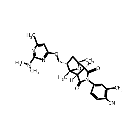 Cc1cc(OC[C@@H]2C[C@@]3(C)O[C@]2(C)[C@@H]2C(=O)N(c4ccc(C#N)c(C(F)(F)F)c4)C(=O)[C@@H]23)nc(N(C)C)n1